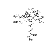 C=C(C)C(=O)O.C[Si](C)(C)O[Si](CCCOCC(O)CO)(O[Si](C)(C)C)O[Si](C)(C)C